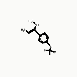 CN/C(=C\N)c1ccc(OC(F)(F)F)cc1